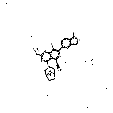 C#Cc1nc(-c2ccc3[nH]ncc3c2)c(F)c2nc(OC)nc(N3CC4CCC(C3)N4)c12